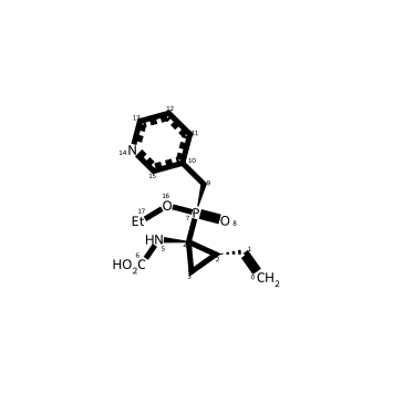 C=C[C@@H]1C[C@]1(NC(=O)O)[P@](=O)(Cc1cccnc1)OCC